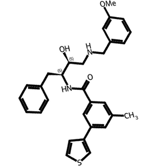 COc1cccc(CNC[C@H](O)[C@H](Cc2ccccc2)NC(=O)c2cc(C)cc(-c3ccsc3)c2)c1